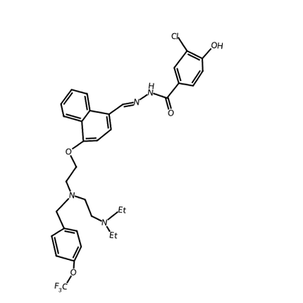 CCN(CC)CCN(CCOc1ccc(/C=N/NC(=O)c2ccc(O)c(Cl)c2)c2ccccc12)Cc1ccc(OC(F)(F)F)cc1